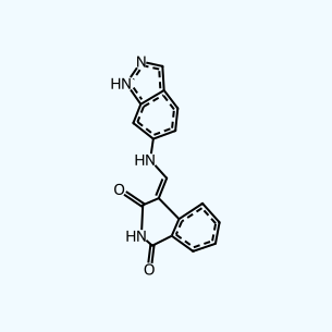 O=C1NC(=O)c2ccccc2/C1=C/Nc1ccc2cn[nH]c2c1